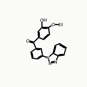 CCOc1ccc(C(=O)c2cccc(-n3nnc4ccccc43)c2)cc1O